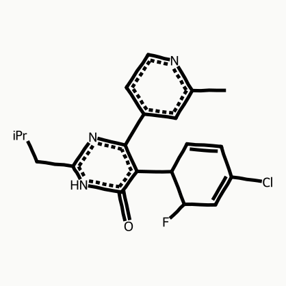 Cc1cc(-c2nc(CC(C)C)[nH]c(=O)c2C2C=CC(Cl)=CC2F)ccn1